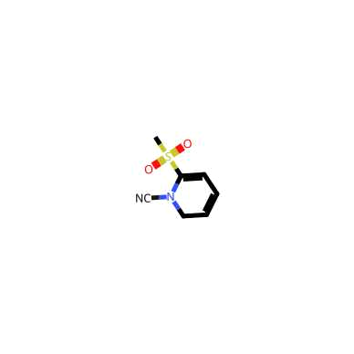 CS(=O)(=O)C1=CC=CCN1C#N